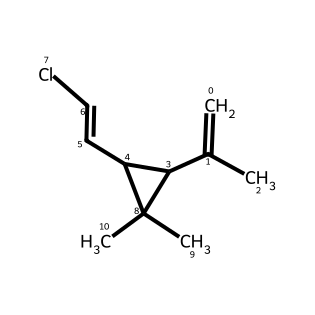 C=C(C)C1C(/C=C/Cl)C1(C)C